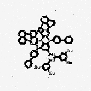 CC(C)(C)c1cc(-c2nc(-c3cc(C(C)(C)C)cc(C(C)(C)C)c3)nc(-c3cc4c5c(c3)N(c3ccc(-c6ccccc6)cc3)c3cc6c7cccc8cccc(c9cccc(c3B5c3c(cc5c%10cccc%11cccc(c%12cccc3c%125)c%11%10)N4c3ccc(-c4ccccc4)cc3)c96)c87)n2)cc(C(C)(C)C)c1